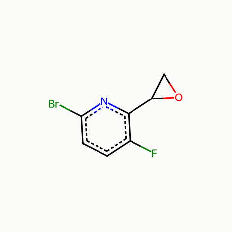 Fc1ccc(Br)nc1C1CO1